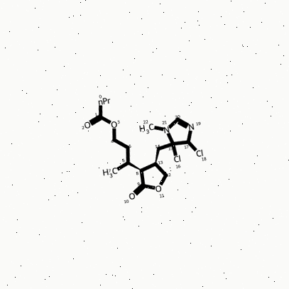 CCCC(=O)OCCC(C)[C@@H]1C(=O)OC[C@@H]1CC1(Cl)C(Cl)N=CN1C